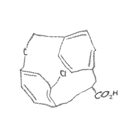 O=C(O)C1Cc2ccc(cc2Cl)CCc2ccc1cc2